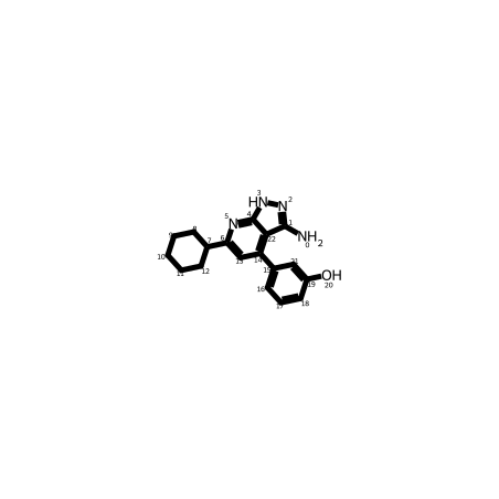 Nc1n[nH]c2nc(C3CCCCC3)cc(-c3cccc(O)c3)c12